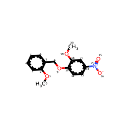 COc1ccccc1COc1ccc([N+](=O)[O-])cc1OC